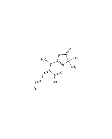 CC=CC=C(C(=O)O)C(C)C1=NC(C)(C)C(=O)O1